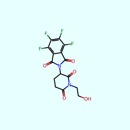 O=C1CCC(N2C(=O)c3c(F)c(F)c(F)c(F)c3C2=O)C(=O)N1CCO